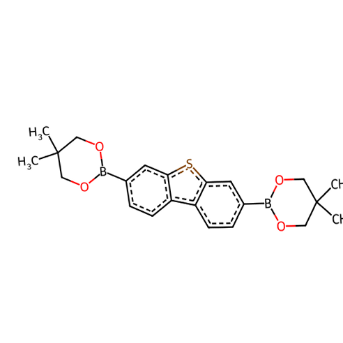 CC1(C)COB(c2ccc3c(c2)sc2cc(B4OCC(C)(C)CO4)ccc23)OC1